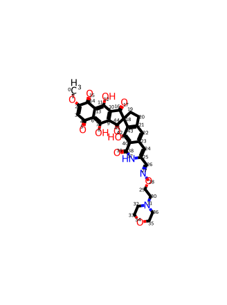 COC1=CC(=O)c2c(O)c3c(c(O)c2C1=O)C(=O)C1(CCc2cc4cc(C=NOCCN5CCOCC5)[nH]c(=O)c4c(O)c21)C3=O